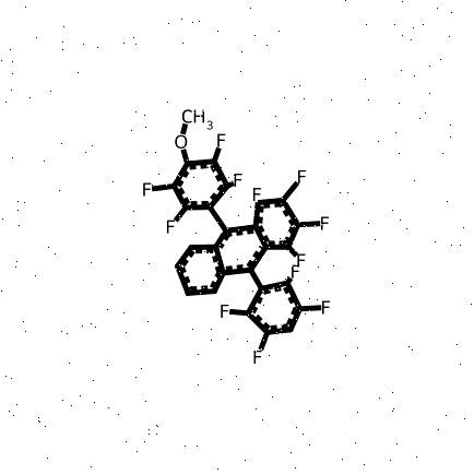 COc1c(F)c(F)c(-c2c3ccccc3c(-c3c(F)c(F)cc(F)c3F)c3c(F)c(F)c(F)c(F)c23)c(F)c1F